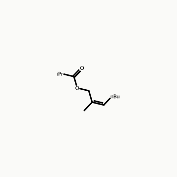 CCCCC=C(C)COC(=O)C(C)C